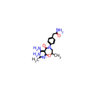 C=C/N=C1/O[C@H](C)CN(c2ccc(CC(N)=O)cc2)C(=O)C1=C(N)N